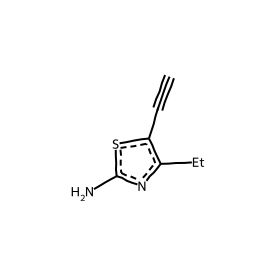 C#Cc1sc(N)nc1CC